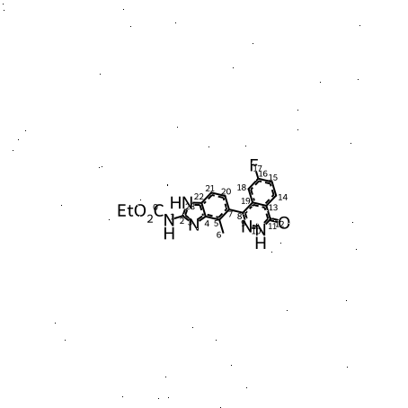 CCOC(=O)Nc1nc2c(C)c(-c3n[nH]c(=O)c4ccc(F)cc34)ccc2[nH]1